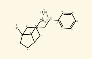 CC1CC2CCC(C(C)C)(C1)C2CC[C@H](N)c1ccccc1